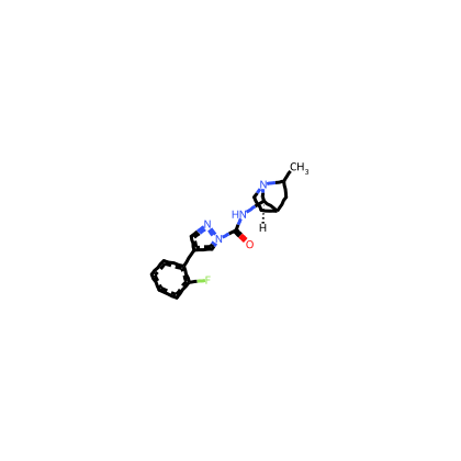 CC1CC2CCN1C[C@@H]2NC(=O)n1cc(-c2ccccc2F)cn1